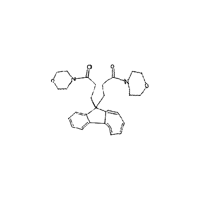 O=C(CCC1(CCC(=O)N2CCOCC2)c2ccccc2-c2ccccc21)N1CCOCC1